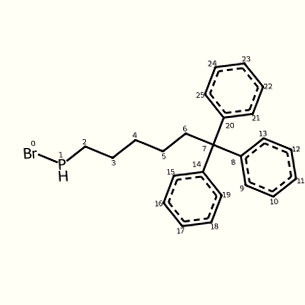 BrPCCCCCC(c1ccccc1)(c1ccccc1)c1ccccc1